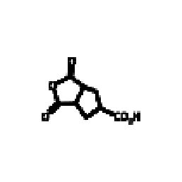 O=C(O)C1CC2C(=O)OC(=O)C2C1